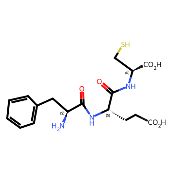 N[C@@H](Cc1ccccc1)C(=O)N[C@@H](CCC(=O)O)C(=O)N[C@@H](CS)C(=O)O